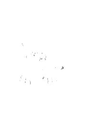 CCCCCCCCCCC(CCCCCCCC)COC(=O)CCCN(CCC)CCCC(=O)OCC(CCCCCCCC)CCCCCCCCCC